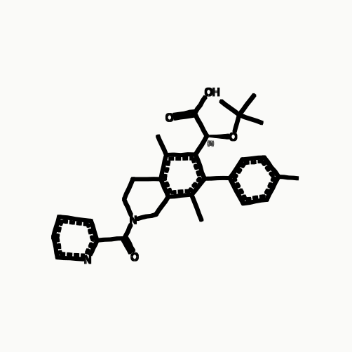 Cc1ccc(-c2c(C)c3c(c(C)c2[C@H](OC(C)(C)C)C(=O)O)CCN(C(=O)c2ccccn2)C3)cc1